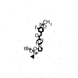 Cc1nc2c(F)cc(CC(=O)c3cnc(N4CC[C@H](CN(C(=O)OC(C)(C)C)C5CC5)C4)cn3)cc2o1